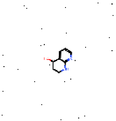 OC1CCNc2ncccc21